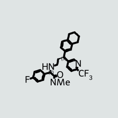 CNC(=O)[C@H](NCC[C@H](c1ccc(C(F)(F)F)nc1)c1ccc2c(c1)CCCC2)c1ccc(F)cc1